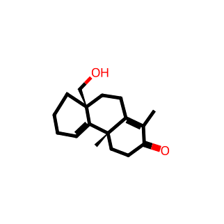 CC1=C2CC[C@@]3(CO)CCCC=C3[C@@]2(C)CCC1=O